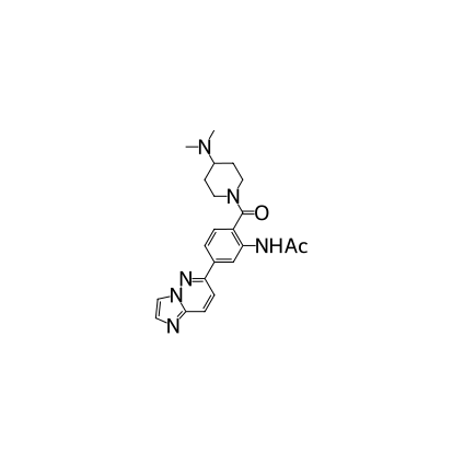 CC(=O)Nc1cc(-c2ccc3nccn3n2)ccc1C(=O)N1CCC(N(C)C)CC1